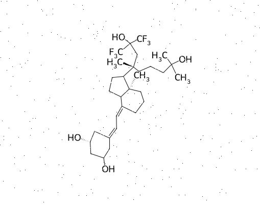 CC(C)(O)CCC[C@@](C)(CC(O)(C(F)(F)F)C(F)(F)F)C1CCC2/C(=C/C=C3/CC(O)C[C@H](O)C3)CCC[C@@]21C